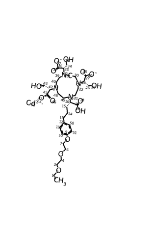 CCOCCOCCOc1ccc(CCC[C@@H](C(=O)O)N2CCN([C@@H](CO)C(=O)[O-])CCN([C@@H](CO)C(=O)[O-])CCN([C@@H](CO)C(=O)[O-])CC2)cc1.[Gd+3]